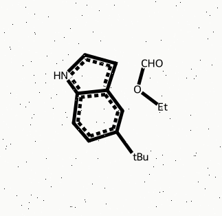 CC(C)(C)c1ccc2[nH]ccc2c1.CCOC=O